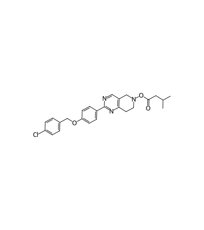 CC(C)CC(=O)ON1CCc2nc(-c3ccc(OCc4ccc(Cl)cc4)cc3)ncc2C1